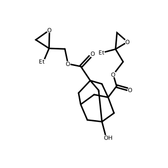 CCC1(COC(=O)C23CC4CC(O)(C2)CC(C(=O)OCC2(CC)CO2)(C4)C3)CO1